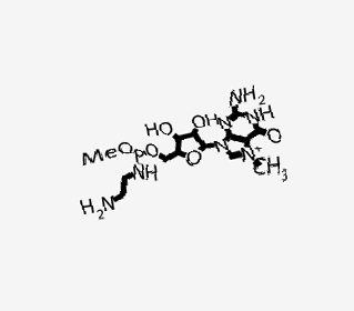 COP(NCCN)OCC1OC(n2c[n+](C)c3c(=O)[nH]c(N)nc32)C(O)C1O